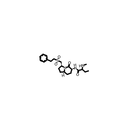 CCC(NC)C(=O)N[C@H]1CC[C@H]2CC[C@@H](CS(=O)(=O)CCc3ccccc3)N2C1=O